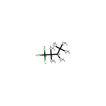 C[C@H](C(C)(C)C)C(C)(C)C(F)(F)F